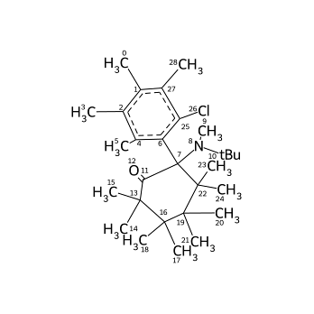 Cc1c(C)c(C)c(C2(N(C)C(C)(C)C)C(=O)C(C)(C)C(C)(C)C(C)(C)C2(C)C)c(Cl)c1C